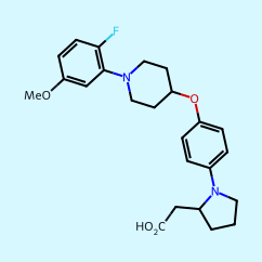 COc1ccc(F)c(N2CCC(Oc3ccc(N4CCCC4CC(=O)O)cc3)CC2)c1